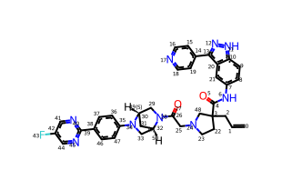 C=CCC1(C(=O)Nc2ccc3[nH]nc(-c4ccncc4)c3c2)CCN(CC(=O)N2C[C@@H]3C[C@H]2CN3c2ccc(-c3ncc(F)cn3)cc2)C1